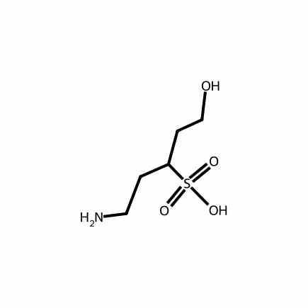 NCCC(CCO)S(=O)(=O)O